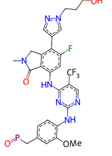 COc1cc(CP=O)ccc1Nc1ncc(C(F)(F)F)c(Nc2cc(F)c(-c3cnn(CCCO)c3)c3c2C(=O)N(C)C3)n1